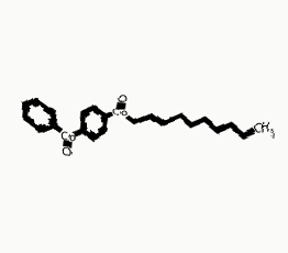 CCCCCCCCC[CH2][Co](=[O])[c]1cc[c]([Co](=[O])[c]2ccccc2)cc1